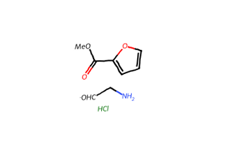 COC(=O)c1ccco1.Cl.NC[C]=O